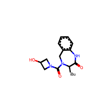 CCC(C)C1C(=O)Nc2ccccc2CN1C(=O)N1CC(O)C1